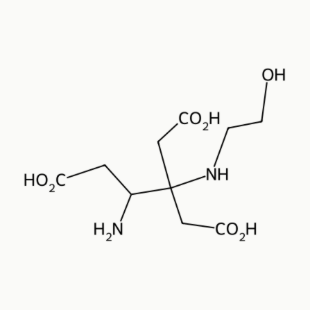 NC(CC(=O)O)C(CC(=O)O)(CC(=O)O)NCCO